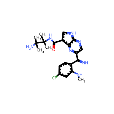 CNc1cc(Cl)ccc1C(=N)c1cnc2[nH]cc(C(=O)NC(C)(C)C(C)(C)N)c2n1